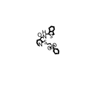 O=C(NCc1scc2ccccc12)c1cccnc1SCCS(=O)(=O)c1ccccc1